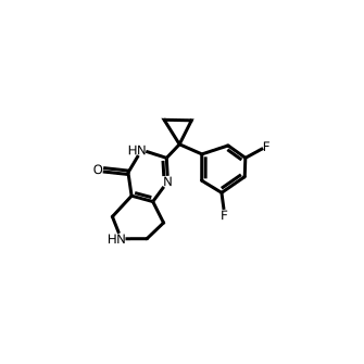 O=c1[nH]c(C2(c3cc(F)cc(F)c3)CC2)nc2c1CNCC2